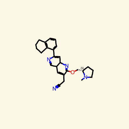 CN1CCC[C@H]1COC1=NC2C=C(c3cccc4c3CCCC4)N=CC2C=C1CC#N